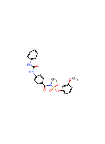 COc1cccc(OS(=O)(=O)N(C)C(=O)c2ccc(NC(=O)Nc3ccccc3)cc2)c1